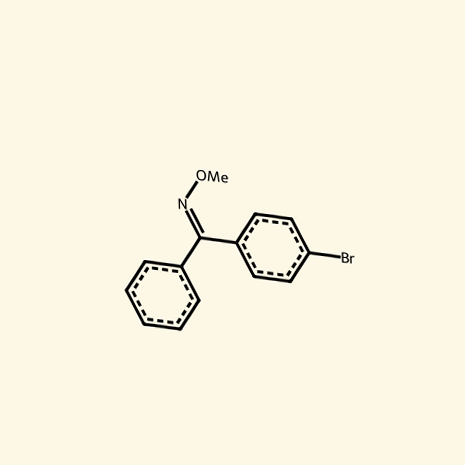 CON=C(c1ccccc1)c1ccc(Br)cc1